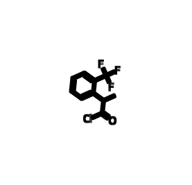 CC(C(=O)Cl)c1ccccc1C(F)(F)F